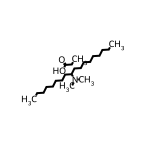 CCC(=O)O.CCCCCCCCCC(CCCCCCCC)N(C)C